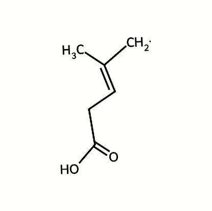 [CH2]C(C)=CCC(=O)O